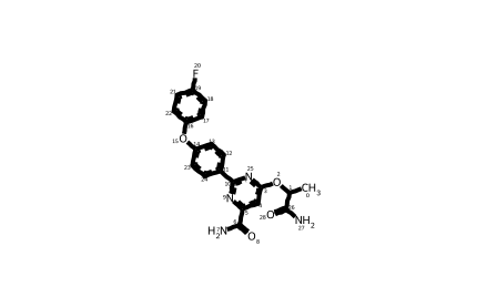 CC(Oc1cc(C(N)=O)nc(-c2ccc(Oc3ccc(F)cc3)cc2)n1)C(N)=O